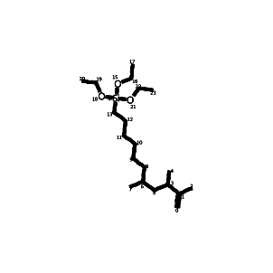 C=C(C)C(C)CC(C)CCCCCC[Si](OCC)(OCC)OCC